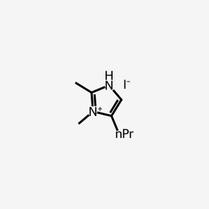 CCCc1c[nH]c(C)[n+]1C.[I-]